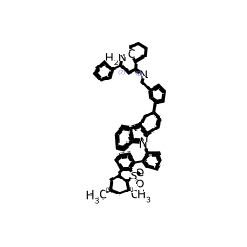 C[C@@H]1CC2c3cccc(-c4ccccc4-n4c5c(c6ccccc64)CC(c4cccc(C/N=C(\C=C(/N)c6ccccc6)C6=CCCCC6)c4)C=C5)c3S(=O)(=O)C2[C@H](C)C1